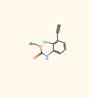 C#Cc1cccc(NC(=O)OC(C)(C)C)c1Cl